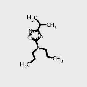 CCCN(CCC)c1nc(C(C)C)no1